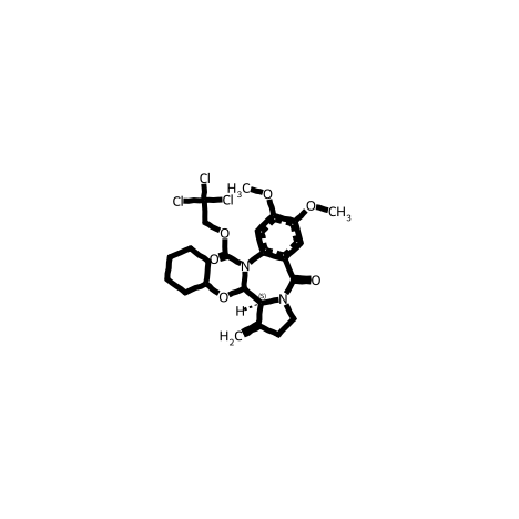 C=C1CCN2C(=O)c3cc(OC)c(OC)cc3N(C(=O)OCC(Cl)(Cl)Cl)C(OC3CCCCC3)[C@H]12